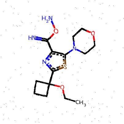 CCOC1(c2nc(C(=N)ON)c(N3CCOCC3)s2)CCC1